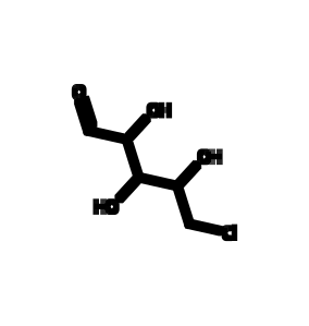 O=CC(O)C(O)C(O)CCl